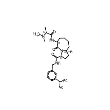 BN(C)[C@@H](C)C(=O)N[C@H]1CCCC[C@H]2CC[C@@H](C(=O)NCc3cccc(C(C(C)=O)C(C)=O)c3)N2C1=O